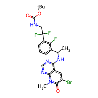 CC(Nc1ncnc2c1cc(Br)c(=O)n2C)c1cccc(C(F)(F)CNC(=O)OC(C)(C)C)c1F